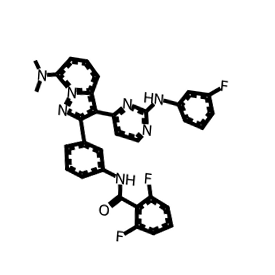 CN(C)c1cccc2c(-c3ccnc(Nc4cccc(F)c4)n3)c(-c3cccc(NC(=O)c4c(F)cccc4F)c3)nn12